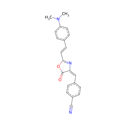 CN(C)c1ccc(C=CC2=NC(=Cc3ccc(C#N)cc3)C(=O)O2)cc1